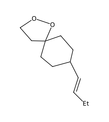 CCC=CC1CCC2(CCOO2)CC1